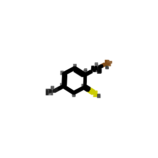 CC(C)C1=CC=[C]([Mg][Br])C(=S)C1